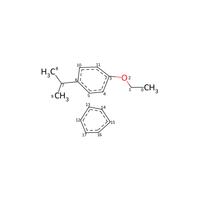 CCOc1ccc(C(C)C)cc1.c1ccccc1